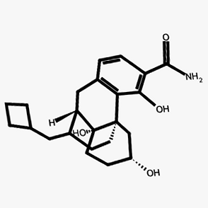 NC(=O)c1ccc2c(c1O)[C@]13CCC(CC4CCC4)[C@H](C2)[C@]1(O)CC[C@@H](O)C3